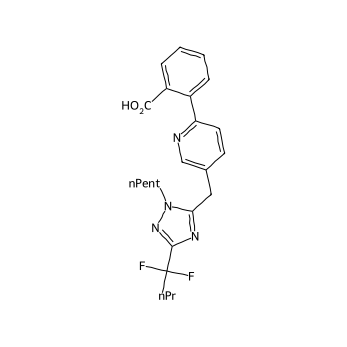 CCCCCn1nc(C(F)(F)CCC)nc1Cc1ccc(-c2ccccc2C(=O)O)nc1